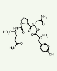 NC(=O)CC[C@H](NC(=O)[C@@H]1CCCN1C(=O)[C@H](CC(N)=O)NC(=O)[C@@H](N)Cc1ccc(O)cc1)C(=O)O